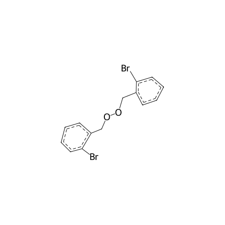 Brc1ccccc1COOCc1ccccc1Br